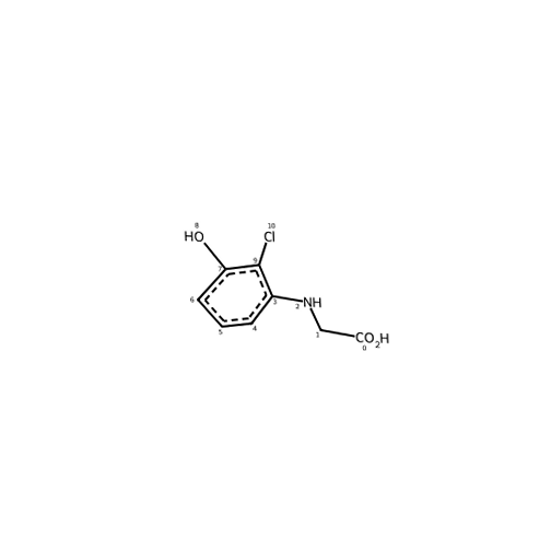 O=C(O)CNc1cccc(O)c1Cl